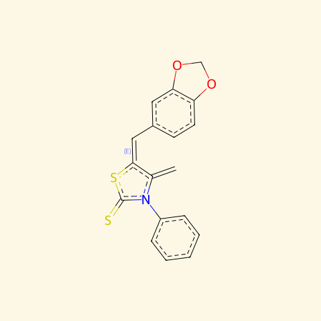 C=c1/c(=C\c2ccc3c(c2)OCO3)sc(=S)n1-c1ccccc1